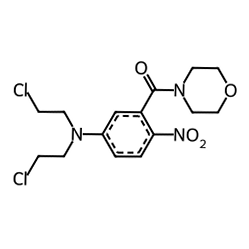 O=C(c1cc(N(CCCl)CCCl)ccc1[N+](=O)[O-])N1CCOCC1